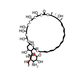 C[C@@H]1[C@H](O)[C@@H](C)/C=C/C=C/C=C/C=C/C=C/C=C/C=C/[C@H](O[C@@H]2O[C@H](C)[C@@H](O)[C@H](N)[C@@H]2O)C[C@@H]2O[C@](O)(C[C@@H](O)C[C@@H](O)[C@H](O)CC[C@@H](O)C[C@@H](O)CC(=O)O[C@H]1C)C[C@H](O)C2C(=O)NCCF